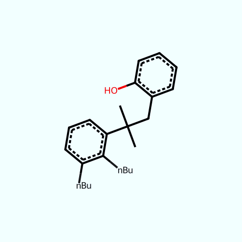 CCCCc1cccc(C(C)(C)Cc2ccccc2O)c1CCCC